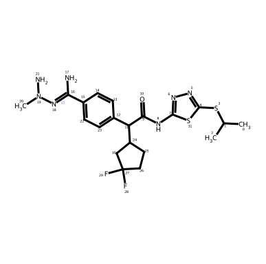 CC(C)Sc1nnc(NC(=O)C(c2ccc(/C(N)=N/N(C)N)cc2)C2CCC(F)(F)C2)s1